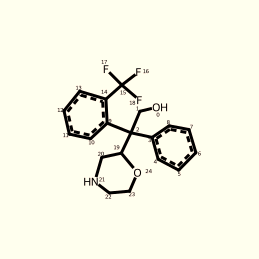 OCC(c1ccccc1)(c1ccccc1C(F)(F)F)C1CNCCO1